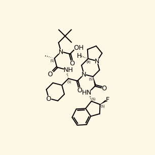 C[C@@H](C(=O)N[C@H](C(=O)N1C[C@H]2CCCN2C[C@H]1C(=O)N[C@H]1c2ccccc2C[C@@H]1F)C1CCOCC1)N(CC(C)(C)C)C(=O)O